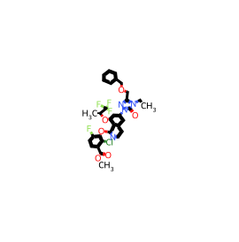 CCn1c(COCc2ccccc2)nn(-c2cc(O[C@@H](C)C(F)(F)F)c3c(Oc4c(F)ccc(C(=O)OC)c4Cl)nccc3c2)c1=O